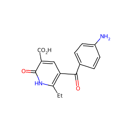 CCc1[nH]c(=O)c(C(=O)O)cc1C(=O)c1ccc(N)cc1